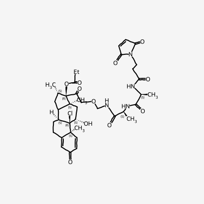 CCC(=O)O[C@]1(C(=O)COCNC(=O)[C@H](C)NC(=O)[C@H](C)NC(=O)CCN2C(=O)C=CC2=O)[C@@H](C)CC2[C@@H]3CCC4=CC(=O)C=C[C@]4(C)[C@@]3(Cl)[C@@H](O)C[C@@]21C